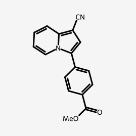 COC(=O)c1ccc(-c2cc(C#N)c3ccccn23)cc1